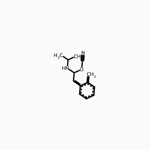 C=c1cccc/c1=C/C(NC(C)C)OC#N